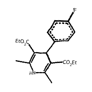 CCOC(=O)C1=C(C)NC(C)=C(C(=O)OCC)C1c1ccc(F)cc1